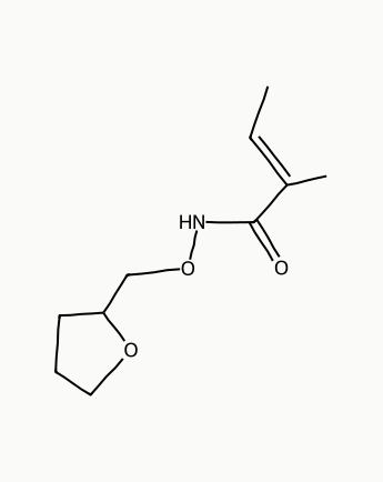 CC=C(C)C(=O)NOCC1CCCO1